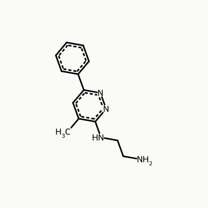 Cc1cc(-c2ccccc2)nnc1NCCN